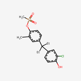 CCC(CC)(c1ccc(OS(C)(=O)=O)c(C)c1)c1ccc(O)c(Cl)c1